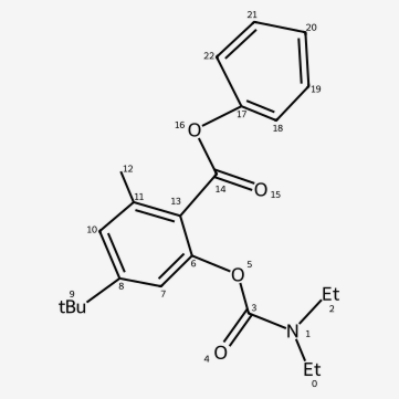 CCN(CC)C(=O)Oc1cc(C(C)(C)C)cc(C)c1C(=O)Oc1ccccc1